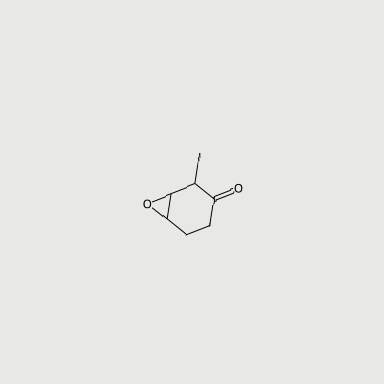 O=C1CCC2OC2C1I